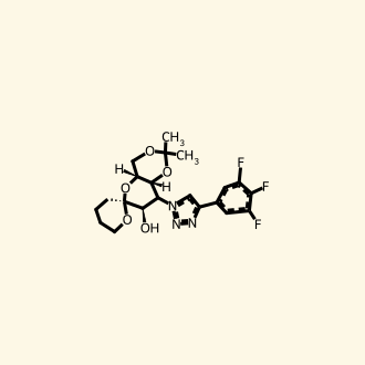 CC1(C)OC[C@H]2O[C@@]3(CCCCO3)[C@H](O)C(n3cc(-c4cc(F)c(F)c(F)c4)nn3)[C@H]2O1